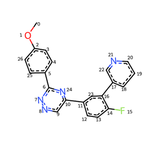 COc1ccc(-c2nncc(-c3ccc(F)c(-c4cccnc4)c3)n2)cc1